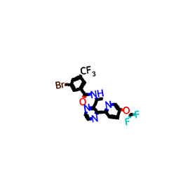 CC(NC(=O)c1cc(Br)cc(C(F)(F)F)c1)c1nccnc1-c1ccc(OC(F)F)cn1